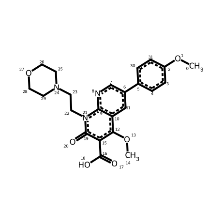 COc1ccc(-c2cnc3c(c2)c(OC)c(C(=O)O)c(=O)n3CCN2CCOCC2)cc1